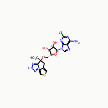 Nc1nc(Cl)nc2c1ncn2[C@@H]1O[C@H](COC(Cc2ccsc2)(C(=O)O)c2nn[nH]n2)[C@@H](O)[C@H]1O